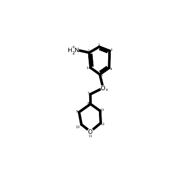 Nc1cccc(OCC2CCOCC2)c1